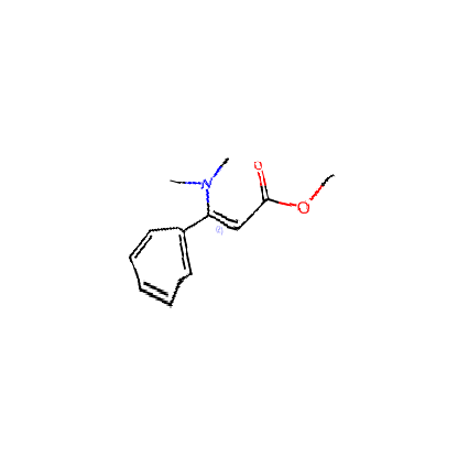 COC(=O)/C=C(/c1ccccc1)N(C)C